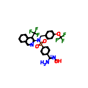 N/C(=N\O)c1ccc(S(=O)(=O)N(Cc2ccc(OC(F)(F)F)cc2)c2ncc3ccccc3c2C(F)(F)F)cc1